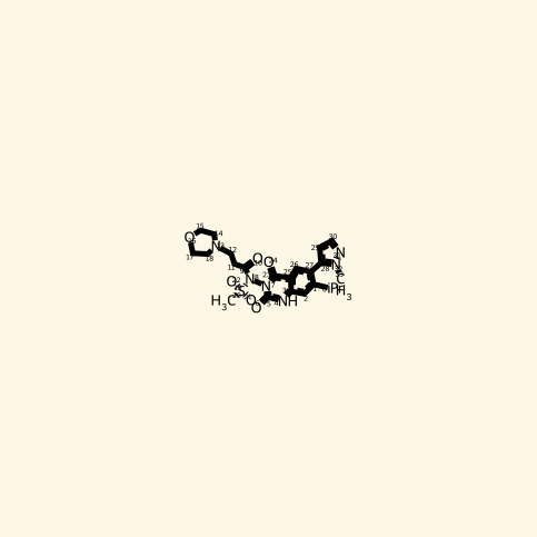 CC(C)c1cc2[nH]c(=O)n(N(C(=O)CCN3CCOCC3)S(C)(=O)=O)c(=O)c2cc1-c1ccnn1C